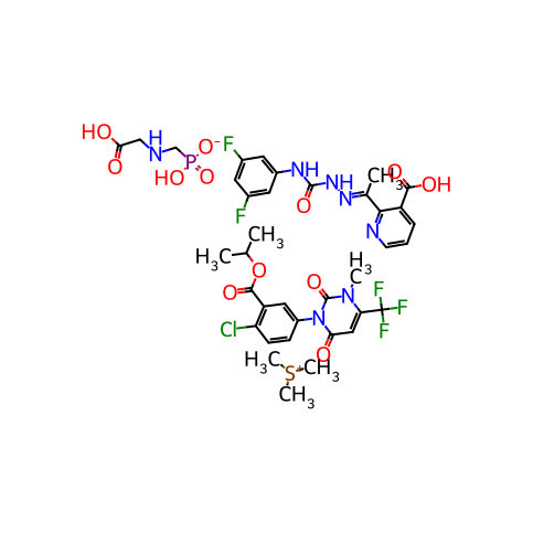 C/C(=N\NC(=O)Nc1cc(F)cc(F)c1)c1ncccc1C(=O)O.CC(C)OC(=O)c1cc(-n2c(=O)cc(C(F)(F)F)n(C)c2=O)ccc1Cl.C[S+](C)C.O=C(O)CNCP(=O)([O-])O